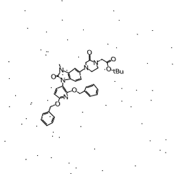 Cn1c(=O)n(-c2ccc(OCc3ccccc3)nc2OCc2ccccc2)c2ccc(N3CCN(CC(=O)OC(C)(C)C)C(=O)C3)cc21